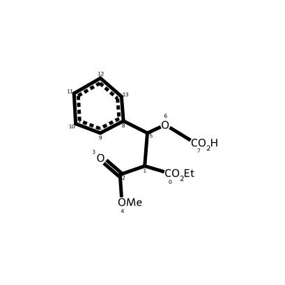 CCOC(=O)C(C(=O)OC)C(OC(=O)O)c1ccccc1